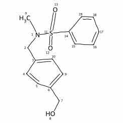 CN(Cc1ccc(CO)cc1)S(=O)(=O)c1ccccc1